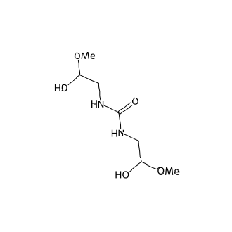 COC(O)CNC(=O)NCC(O)OC